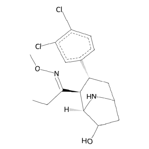 CCC(=NOC)[C@H]1[C@H](c2ccc(Cl)c(Cl)c2)CC2CC(O)[C@@H]1N2